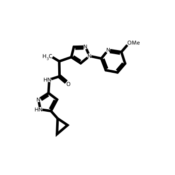 COc1cccc(-n2cc(C(C)C(=O)Nc3cc(C4CC4)[nH]n3)cn2)n1